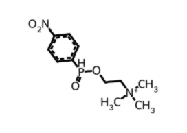 C[N+](C)(C)CCO[PH](=O)c1ccc([N+](=O)[O-])cc1